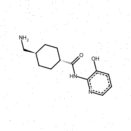 NC[C@H]1CC[C@H](C(=O)Nc2ncccc2O)CC1